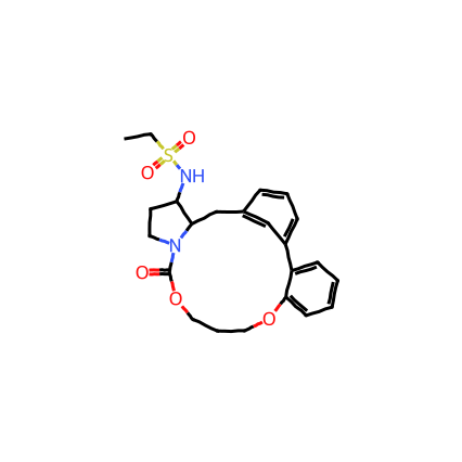 CCS(=O)(=O)NC1CCN2C(=O)OCCCOc3ccccc3-c3cccc(c3)CC12